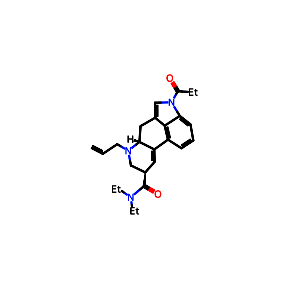 C=CCN1C[C@H](C(=O)N(CC)CC)C=C2c3cccc4c3c(cn4C(=O)CC)C[C@H]21